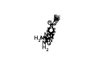 N#CCC1(n2cc(C(N)=O)c(N)n2)CCN(C(=O)OCC(F)(F)F)CC1